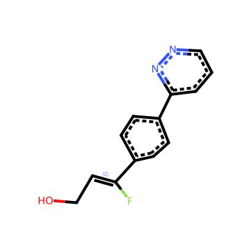 OC/C=C(\F)c1ccc(-c2cccnn2)cc1